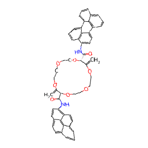 C=C1OCCOCCO[C@H](C(=O)Nc2ccc3c4cccc5cccc(c6cccc2c63)c54)C(=C)OCCOCCOC1C(=O)Nc1ccc2ccc3cccc4ccc1c2c34